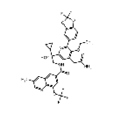 CCOc1c(CC(N)=O)cc([C@@](O)(CNC(=O)c2cc(OC(F)(F)F)c3ncc(C)cc3c2)C2CC2)nc1-c1ccc2c(c1)OC(F)(F)O2